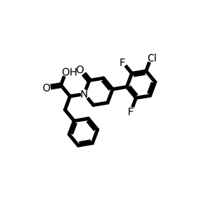 O=C(O)C(Cc1ccccc1)N1CCC(c2c(F)ccc(Cl)c2F)=CC1=O